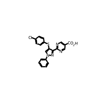 O=C(O)c1cnc(-c2nn(-c3ccccc3)cc2Sc2ccc(Cl)cc2)nc1